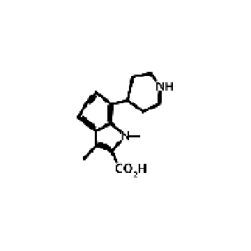 Cc1c(C(=O)O)n(C)c2c(C3CCNCC3)cccc12